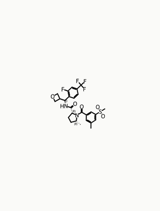 Cc1cc(C(=O)N2[C@H](C)CC[C@@H]2C(=O)N[C@@H](c2ccc(C(F)(F)F)cc2F)C2COC2)cc(S(C)(=O)=O)c1